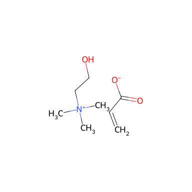 C=CC(=O)[O-].C[N+](C)(C)CCO